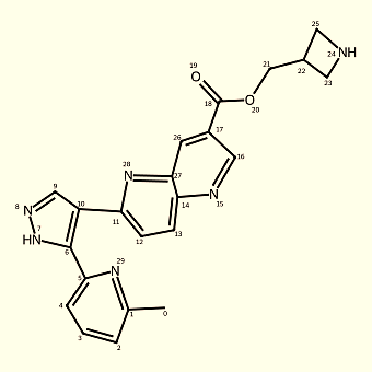 Cc1cccc(-c2[nH]ncc2-c2ccc3ncc(C(=O)OCC4CNC4)cc3n2)n1